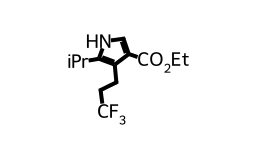 CCOC(=O)c1c[nH]c(C(C)C)c1CCC(F)(F)F